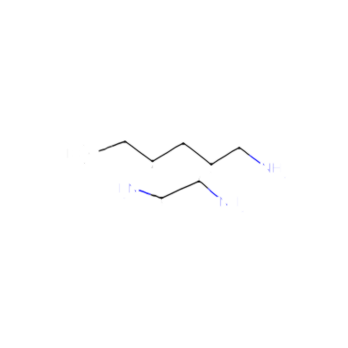 NCCCCCC(=O)O.NCCN